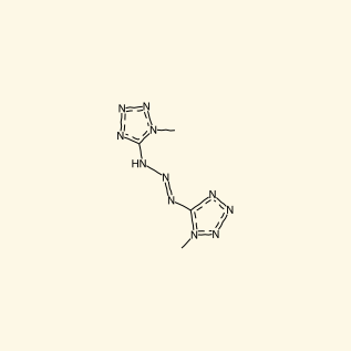 Cn1nnnc1N=NNc1nnnn1C